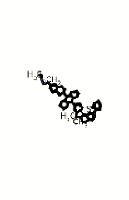 C=C/C=C\C(=C)c1ccc2cc(-c3c4ccccc4c(-c4ccc5c(c4)C(C)(C)c4ccc6ccc7c8ccccc8sc7c6c4-5)c4ccccc34)ccc2c1